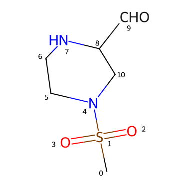 CS(=O)(=O)N1CCNC(C=O)C1